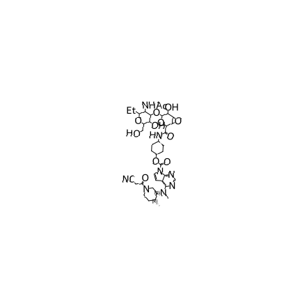 CCC1OC(CO)C(O)C(OC2OC(C(=O)NC3CCC(OC(=O)n4ccc5c(N(C)[C@H]6CN(C(=O)CC#N)CC[C@H]6C)ncnc54)CC3)C3OC3C2O)C1NC(C)=O